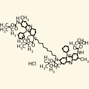 Cc1cc2nc3cc(C)c(N(CCCCCCCCCN(C(=O)OC(C)(C)C)c4ccc5nc6cc(C)c(NC(=O)OC(C)(C)C)cc6[n+](-c6ccccc6)c5c4C)C(=O)OC(C)(C)C)cc3[n+](-c3ccccc3)c2cc1NC(=O)OC(C)(C)C.Cl